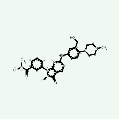 CCn1c(=O)c2cnc(Nc3ccc(N4CCN(C)CC4)c(CO)c3)nc2n1-c1cccc(C(=O)N(C)C)c1